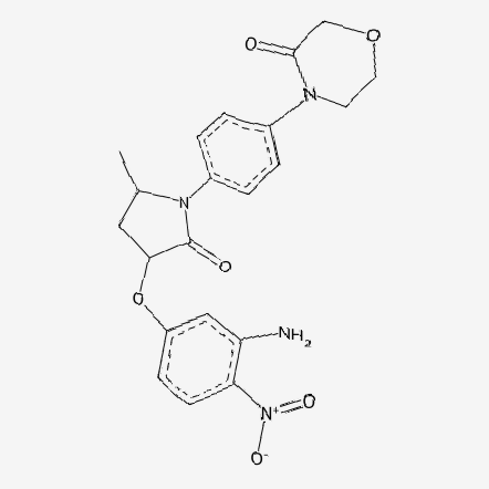 CC1CC(Oc2ccc([N+](=O)[O-])c(N)c2)C(=O)N1c1ccc(N2CCOCC2=O)cc1